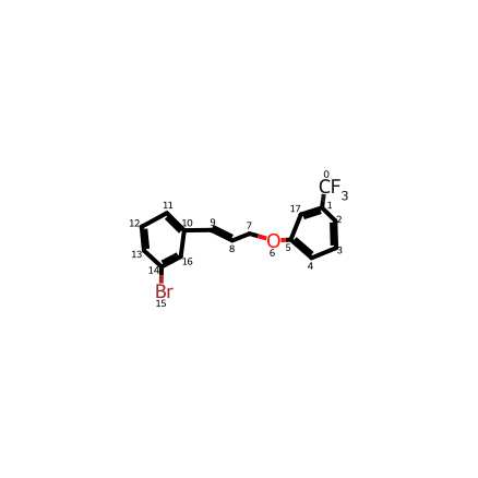 FC(F)(F)c1cccc(OCC=Cc2cccc(Br)c2)c1